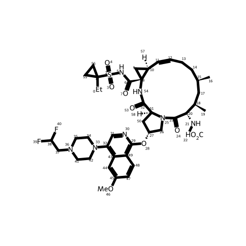 CCC1(S(=O)(=O)NC(=O)[C@@]23C[C@H]2/C=C\CC[C@@H](C)C[C@@H](C)[C@H](NC(=O)O)C(=O)N2C[C@H](Oc4ncc(N5CCN(CC(F)F)CC5)c5cc(OC)ccc45)C[C@H]2C(=O)N3)CC1